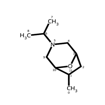 CC1CC2CN(C(C)C)CC1O2